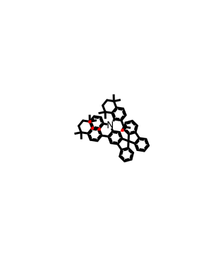 CC(C)c1ccc2c(c1N(c1ccccc1)c1cc3c(cc1-c1ccc4c(c1)C(C)(C)CCC4(C)C)-c1ccccc1C31c3ccccc3-c3ccccc31)C(C)(C)CCC2(C)C